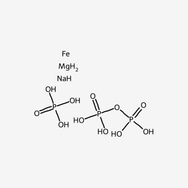 O=P(O)(O)O.O=P(O)(O)OP(=O)(O)O.[Fe].[MgH2].[NaH]